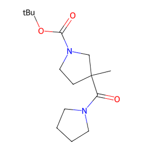 CC(C)(C)OC(=O)N1CCC(C)(C(=O)N2CCCC2)C1